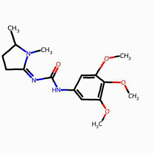 COc1cc(NC(=O)N=C2CCC(C)N2C)cc(OC)c1OC